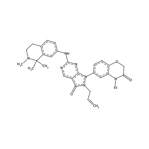 C=CCn1c(=O)c2cnc(Nc3ccc4c(c3)C(C)(C)N(C)CC4)nc2n1-c1ccc2c(c1)N(CC)C(=O)CO2